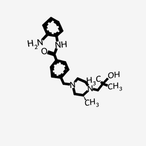 C[C@@H]1CN(Cc2ccc(C(=O)Nc3ccccc3N)cc2)CCN1CC(C)(C)O